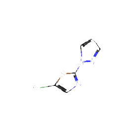 Brc1cnc(-n2cccn2)s1